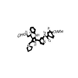 COc1ccc(C(=O)Nc2cc(-c3[nH]c(CN4CCCC4)c(C(=O)CNC=O)c3Nc3ccccc3)ccn2)cc1F